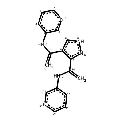 C=C(Nc1cccnc1)c1c[nH]nc1C(=C)Nc1cccnc1